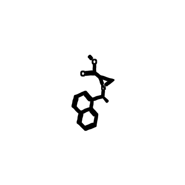 COC(=O)C1CN1[C@@H](C)c1cccc2ccccc12